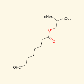 CCCCCCCCC(CCCCCC)COC(=O)CCCCCCC=O